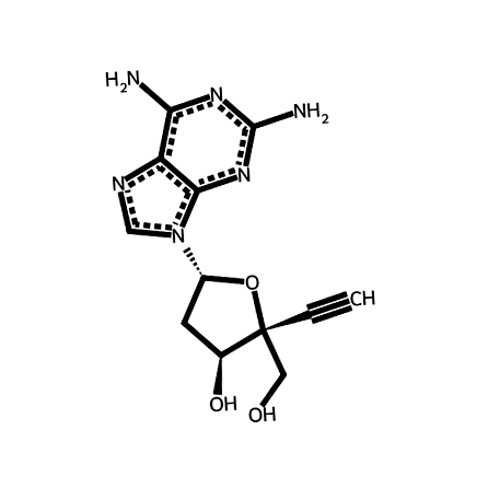 C#C[C@]1(CO)O[C@@H](n2cnc3c(N)nc(N)nc32)C[C@@H]1O